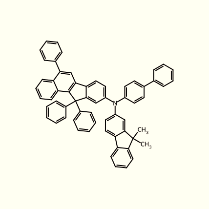 CC1(C)c2ccccc2-c2ccc(N(c3ccc(-c4ccccc4)cc3)c3ccc4c(c3)C(c3ccccc3)(c3ccccc3)c3c-4cc(-c4ccccc4)c4ccccc34)cc21